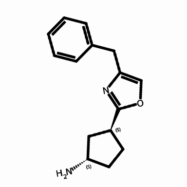 N[C@H]1CC[C@H](c2nc(Cc3ccccc3)co2)C1